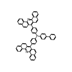 c1ccc(-c2ccc(P(c3ccc(-c4c5ccc6ccccc6c5nc5c4ccc4ccccc45)cc3)c3ccc(-c4c5ccc6ccccc6c5nc5c4ccc4ccccc45)cc3)cc2)cc1